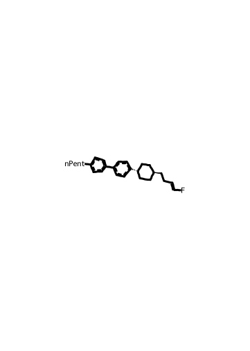 CCCCCc1ccc(-c2ccc([C@H]3CC[C@H](CCC=CF)CC3)cc2)cc1